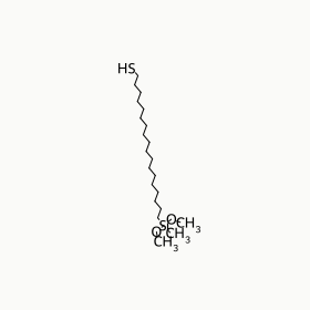 CO[Si](C)(CCCCCCCCCCCCCCCCCCS)OC